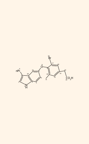 CCCc1c[nH]c2ccc(Oc3c(C)cc(CC(=O)O)cc3Br)cc12